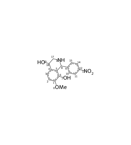 COc1ccc2c(c1O)C(c1ccc([N+](=O)[O-])cc1)NCC2O